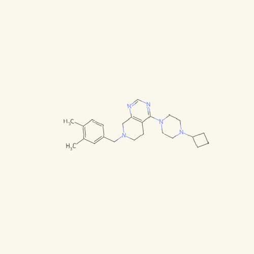 Cc1ccc(CN2CCc3c(ncnc3N3CCN(C4CCC4)CC3)C2)cc1C